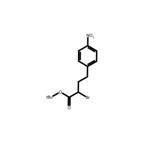 CC(C)(C)OC(=O)C(Br)CCc1ccc([N+](=O)[O-])cc1